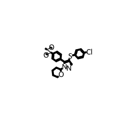 CS(=O)(=O)c1ccc(-c2c(Sc3ccc(Cl)cc3)cnn2C2CCCCO2)cc1